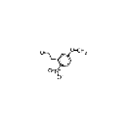 COc1ccc([N+](=O)[O-])c(CC=O)c1